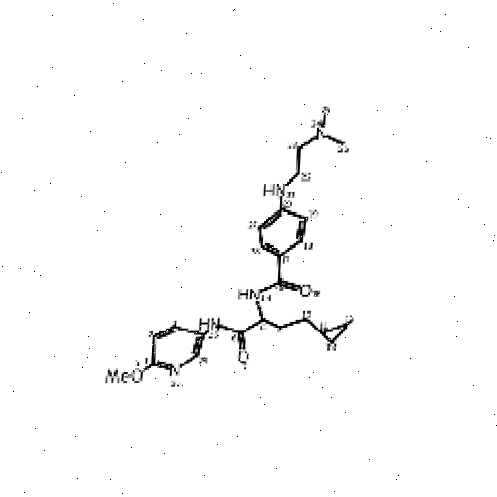 COc1ccc(NC(=O)C(CCC2CC2)NC(=O)c2ccc(NCCN(C)C)cc2)cn1